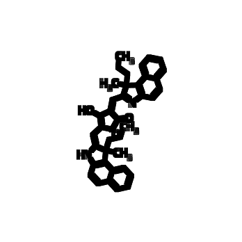 CCCC1(C)C(/C=C2\C(=O)C(=O)C(/C=C3/Nc4ccc5ccccc5c4C3(C)CCC)=C2O)=Nc2ccc3ccccc3c21